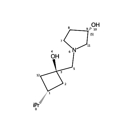 CC(C)[C@H]1C[C@@](O)(CN2CC[C@H](O)C2)C1